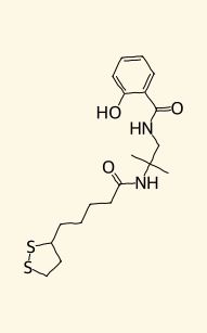 CC(C)(CNC(=O)c1ccccc1O)NC(=O)CCCCC1CCSS1